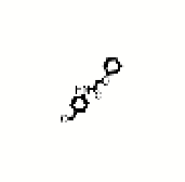 O=Cc1ccc(NC(=O)COC2=C[CH]CC=C2)cc1